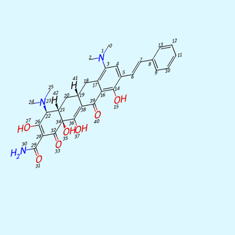 CN(C)c1cc(/C=C/c2ccccc2)c(O)c2c1C[C@H]1C[C@H]3[C@H](N(C)C)C(O)=C(C(N)=O)C(=O)[C@@]3(O)C(O)=C1C2=O